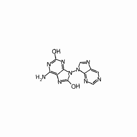 Nc1nc(O)nc2c1nc(O)n2-n1cnc2cncnc21